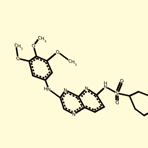 COc1cc(Nc2cnc3ccc(NS(=O)(=O)C4CCCCC4)nc3n2)cc(OC)c1OC